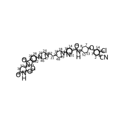 N#Cc1ccc(O[C@H]2CC[C@H](NC(=O)c3ccc(N4CCC(CCN5CCN(c6ccc7c(c6)C(=O)N(C6CCC(=O)NC6=O)C7=O)CC5)CC4)nc3)CC2)cc1Cl